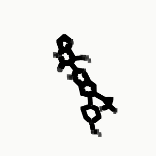 CN1CCN(c2cc3[nH]c(-c4c(N)c5sccc5[nH]c4=O)nc3cc2C2CC2(F)F)CC1